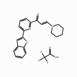 O=C(C=CN1CCCCC1)c1cccc(-c2cc3ccccc3s2)n1.O=C(O)C(F)(F)F